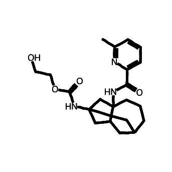 Cc1cccc(C(=O)NC23CCCC4CC2CC(NC(=O)OCCO)(C4)C3)n1